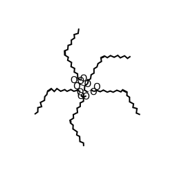 CCCCCCCC/C=C\CCCCCCCC(=O)OC[C@H](OC(=O)CCCCCCC/C=C\CCCCCCCC)[C@@H](OC(=O)CCCCCCC/C=C\CCCCCCCC)[C@@H](COC(=O)CCCCCCC/C=C\CCCCCCCC)OC(=O)CCCCCCC/C=C\CCCCCCCC